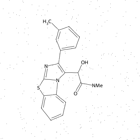 CNC(=O)C(O)c1c(-c2cccc(C)c2)nc2sc3ccccc3n12